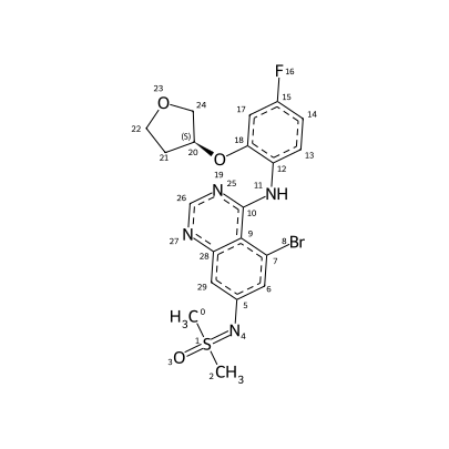 CS(C)(=O)=Nc1cc(Br)c2c(Nc3ccc(F)cc3O[C@H]3CCOC3)ncnc2c1